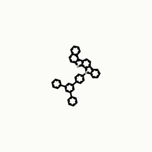 c1ccc(-c2cc(-c3ccccc3)cc(-c3ccc(-n4c5ccccc5c5ccc6c(sc7ccc8ccccc8c76)c54)cc3)c2)cc1